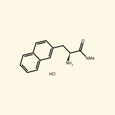 CNC(=O)[C@@H](N)Cc1ccc2ccccc2c1.Cl